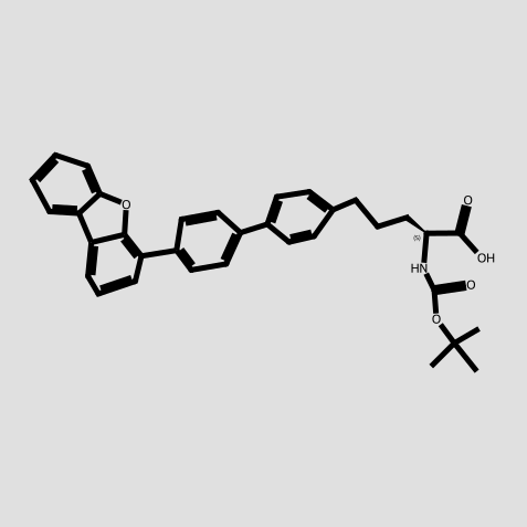 CC(C)(C)OC(=O)N[C@@H](CCCc1ccc(-c2ccc(-c3cccc4c3oc3ccccc34)cc2)cc1)C(=O)O